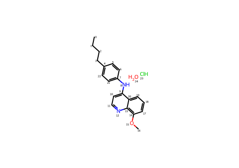 CCCCc1ccc(Nc2ccnc3c(OC)cccc23)cc1.Cl.O